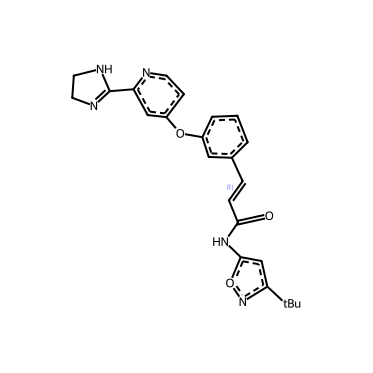 CC(C)(C)c1cc(NC(=O)/C=C/c2cccc(Oc3ccnc(C4=NCCN4)c3)c2)on1